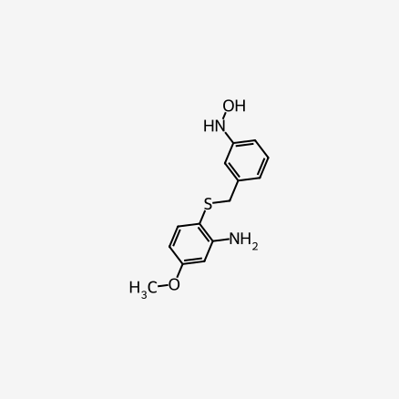 COc1ccc(SCc2cccc(NO)c2)c(N)c1